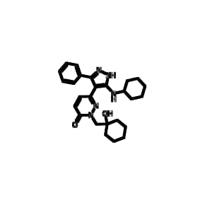 O=c1ccc(-c2c(-c3ccccc3)n[nH]c2NC2CCCCC2)nn1CC1(O)CCCCC1